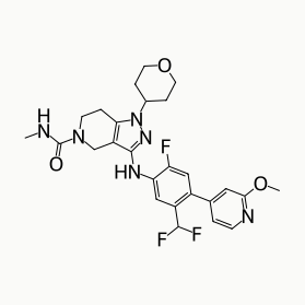 CNC(=O)N1CCc2c(c(Nc3cc(C(F)F)c(-c4ccnc(OC)c4)cc3F)nn2C2CCOCC2)C1